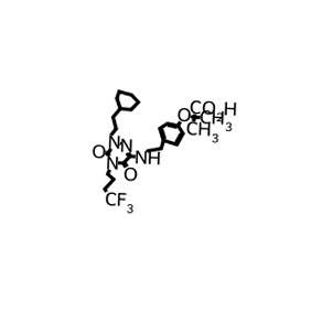 CC(C)(Oc1ccc(CCNc2nn(CCCC3CCCCC3)c(=O)n(CCCC(F)(F)F)c2=O)cc1)C(=O)O